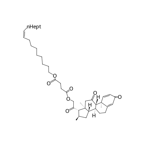 CCCCCCC/C=C\CCCCCCCCOC(=O)CCC(=O)OCC(=O)[C@H]1[C@H](C)C[C@H]2[C@@H]3CCC4=CC(=O)C=C[C@]4(C)[C@H]3C(=O)C[C@@]21C